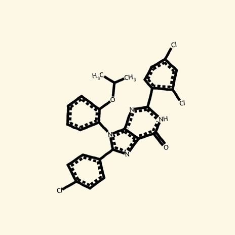 CC(C)Oc1ccccc1-n1c(-c2ccc(Cl)cc2)nc2c(=O)[nH]c(-c3ccc(Cl)cc3Cl)nc21